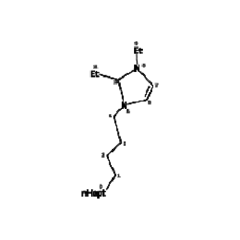 CCCCCCCCCCCN1C=CN(CC)C1CC